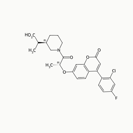 CC(C(=O)O)[C@H]1CCCN(C(=O)[C@@H](C)Oc2ccc3c(-c4ccc(F)cc4Cl)cc(=O)oc3c2)C1